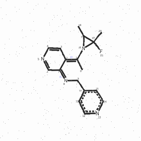 C/C(=C1/C=CN=C/C1=N/Cc1ccncc1)N1C(C)C1(C)F